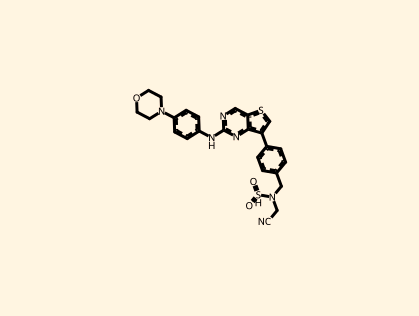 N#CCN(Cc1ccc(-c2csc3cnc(Nc4ccc(N5CCOCC5)cc4)nc23)cc1)[SH](=O)=O